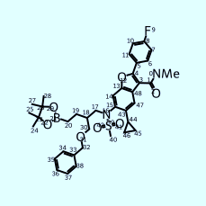 CNC(=O)c1c(-c2ccc(F)cc2)oc2cc(N(CC(CCB3OC(C)(C)C(C)(C)O3)COCc3ccccc3)S(C)(=O)=O)c(C3CC3)cc12